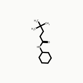 CC(C)(C)CCC(=O)NC1CCCCC1